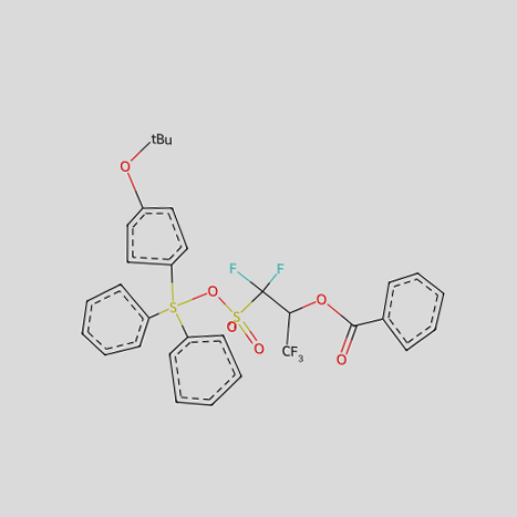 CC(C)(C)Oc1ccc(S(OS(=O)(=O)C(F)(F)C(OC(=O)c2ccccc2)C(F)(F)F)(c2ccccc2)c2ccccc2)cc1